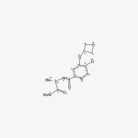 CNC(=O)[C@@H](NC(=O)c1cc(OC2COC2)c(Cl)cn1)C(C)(C)C